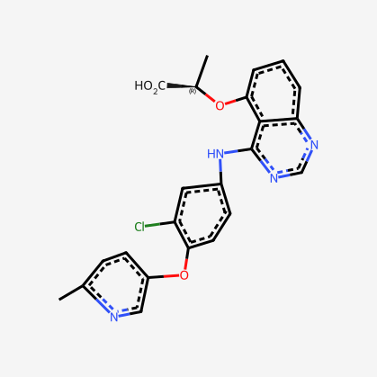 Cc1ccc(Oc2ccc(Nc3ncnc4cccc(O[C@H](C)C(=O)O)c34)cc2Cl)cn1